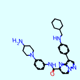 NC1CCN(c2cccc(NC(=O)c3ccn4ncc(-c5ccc(NCC6CCCCC6)cc5)c4n3)c2)CC1